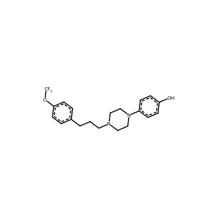 Oc1ccc(N2CCN(CCCc3ccc(OC(F)(F)F)cc3)CC2)cc1